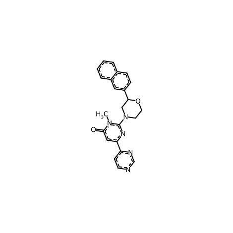 Cn1c(N2CCOC(c3ccc4ccccc4c3)C2)nc(-c2ccncn2)cc1=O